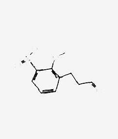 COc1c(CCC=O)cccc1[N+](=O)[O-]